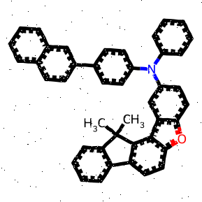 CC1(C)c2ccccc2-c2ccc3oc4ccc(N(c5ccccc5)c5ccc(-c6ccc7ccccc7c6)cc5)cc4c3c21